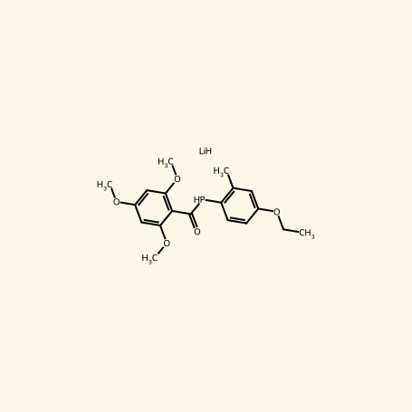 CCOc1ccc(PC(=O)c2c(OC)cc(OC)cc2OC)c(C)c1.[LiH]